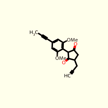 C#CCC1CC(=O)C(c2c(OC)cc(C#CC)cc2OC)C1=O